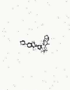 CC(C(=O)Nc1cc(-n2cnc3cc(-c4cccnc4)ccc3c2=O)ccc1OC(F)(F)F)N1CC2CCC(C2)C1